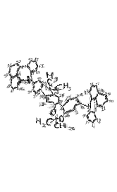 CC1(C)Oc2cc(N(c3ccccc3)c3cccc4ccccc34)ccc2-c2cc3c(cc2O1)-c1ccc(N(c2ccccc2)c2cccc4ccccc24)cc1C3(C)C